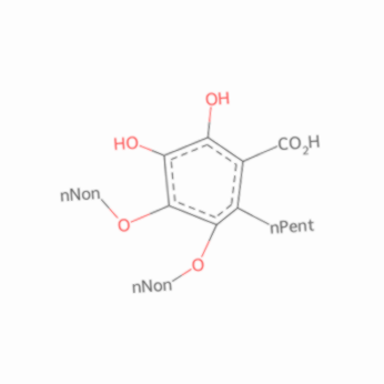 CCCCCCCCCOc1c(O)c(O)c(C(=O)O)c(CCCCC)c1OCCCCCCCCC